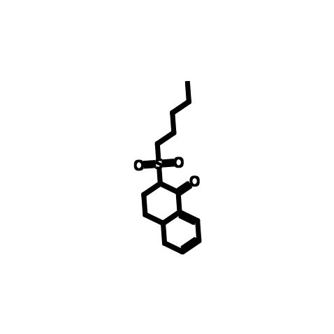 CCCCCS(=O)(=O)C1CCC2CC=CC=C2C1=O